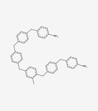 Cc1cc(Cc2ccc(Cc3ccc(Cc4ccc(N)cc4)cc3)cc2)ccc1Cc1ccc(Cc2ccc(N)cc2)cc1